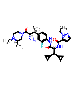 CCn1nccc1C(=O)N[C@H](C(=O)Nc1ccc([C@H](C)[C@@H](N)C(=O)N2CCN(C)[C@H](C)C2)cc1F)C(C1CC1)C1CC1